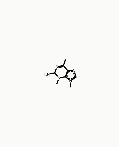 CC1=NC(N)N(C)c2c1ncn2C